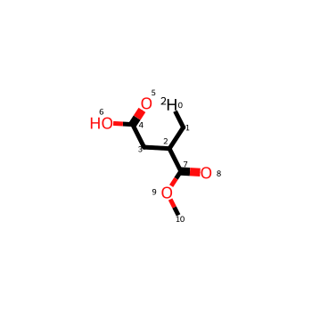 [2H]CC(CC(=O)O)C(=O)OC